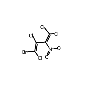 O=[N+]([O-])C(=C(Cl)Cl)/C(Cl)=C(\Cl)Br